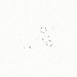 CN(c1nc2ccccc2c(=O)n1-c1ccccc1OC1CC1)C1CCN(C(=O)OC(C)(C)C)CC1